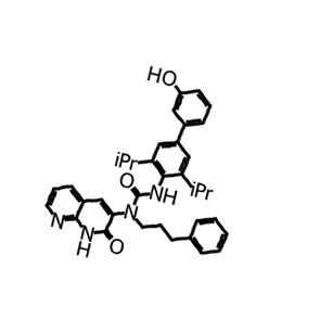 CC(C)c1cc(-c2cccc(O)c2)cc(C(C)C)c1NC(=O)N(CCCc1ccccc1)c1cc2cccnc2[nH]c1=O